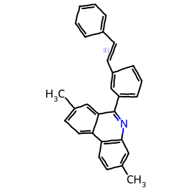 Cc1ccc2c(c1)nc(-c1cccc(/C=C/c3ccccc3)c1)c1cc(C)ccc12